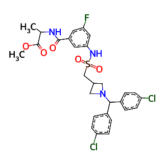 COC(=O)C(C)NC(=O)c1cc(F)cc(NS(=O)(=O)CC2CN(C(c3ccc(Cl)cc3)c3ccc(Cl)cc3)C2)c1